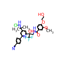 COc1cc(C(=O)NC[C@](O)(c2cc(C(C)(C)NCl)cc(-c3ccc(C#N)cc3)n2)C(F)(F)F)ccc1OCCO